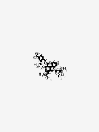 COc1cc(C(=O)O)ccc1COC(=O)c1c(C)nc(CC(C)C)c(CNC(=O)OC(C)(C)C)c1-c1ccc(C)cc1